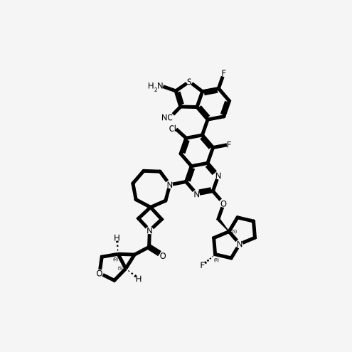 N#Cc1c(N)sc2c(F)ccc(-c3c(Cl)cc4c(N5CCCCC6(CN(C(=O)C7[C@H]8COC[C@@H]78)C6)C5)nc(OC[C@@]56CCCN5C[C@H](F)C6)nc4c3F)c12